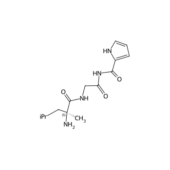 CC(C)C[C@](C)(N)C(=O)NCC(=O)NC(=O)c1ccc[nH]1